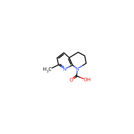 Cc1ccc2c(n1)N(C(=O)O)CCC2